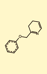 C1=CN=C(COc2ccccc2)CC1